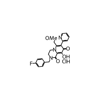 COCc1c(-c2ccccn2)c(=O)c(O)c2n1CCN(Cc1ccc(F)cc1)C2=O.Cl